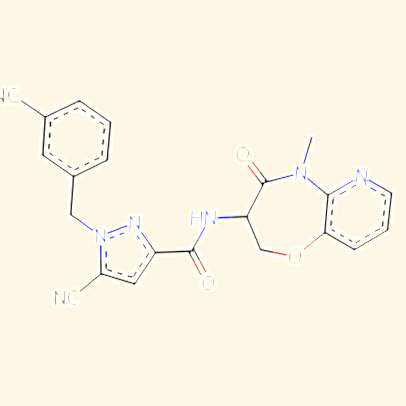 CN1C(=O)C(NC(=O)c2cc(C#N)n(Cc3cccc(C#N)c3)n2)COc2cccnc21